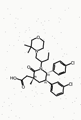 CCC(CN1CCOCC1(C)C)N1C(=O)[C@@](C)(CC(=O)O)C[C@H](c2cccc(Cl)c2)[C@H]1c1ccc(Cl)cc1